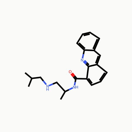 CC(C)CNCC(C)NC(=O)c1cccc2cc3ccccc3nc12